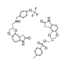 Cc1ccc(S(=O)(=O)OC[C@H]2COc3ccc4c(c3O2)CC(=O)N4)cc1.O=C1Cc2c(ccc3c2OC(CNCc2ccc(OC(F)(F)F)cc2)CO3)N1